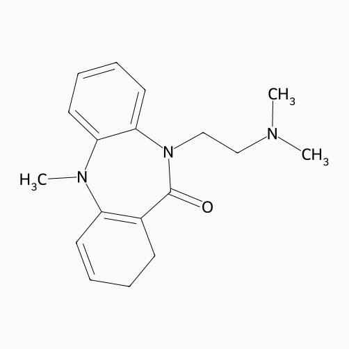 CN(C)CCN1C(=O)C2=C(C=CCC2)N(C)c2ccccc21